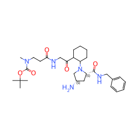 CN(CCC(=O)NCC(=O)C1CCCCC1N1C[C@@H](N)C[C@H]1C(=O)NCc1ccccc1)C(=O)OC(C)(C)C